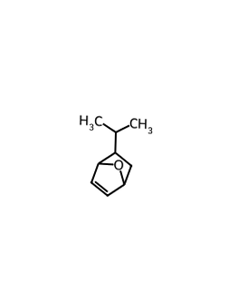 CC(C)C1CC2C=CC1O2